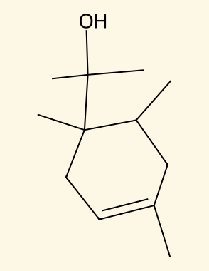 CC1=CCC(C)(C(C)(C)O)C(C)C1